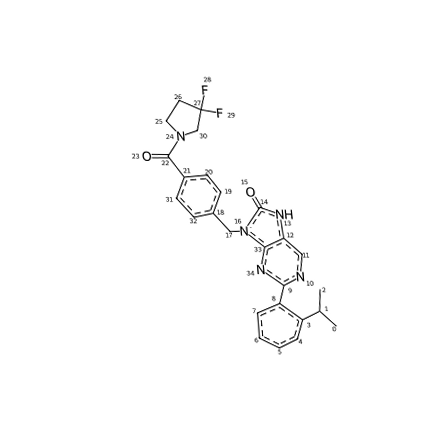 CC(C)c1ccccc1-c1ncc2[nH]c(=O)n(Cc3ccc(C(=O)N4CCC(F)(F)C4)cc3)c2n1